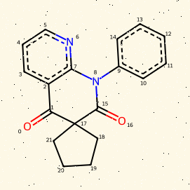 O=C1c2cccnc2N(c2ccccc2)C(=O)C12CCCC2